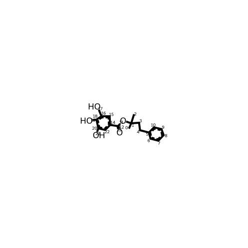 CC(C)(CCc1ccccc1)OC(=O)c1cc(O)c(O)c(O)c1